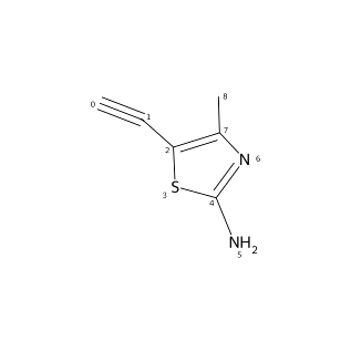 C#Cc1sc(N)nc1C